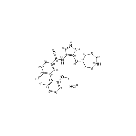 COc1cccc(F)c1-c1nc(C(=O)Nc2cnsc2OC2CCCNCC2)ccc1F.Cl